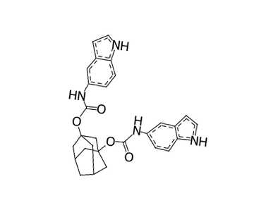 O=C(Nc1ccc2[nH]ccc2c1)OC12CC3CC(C1)CC(OC(=O)Nc1ccc4[nH]ccc4c1)(C3)C2